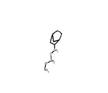 [SiH3]O[SiH2]O[SiH2]C1CC2CCC1C2